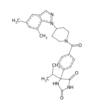 Cc1cc(C)c2c(cnn2C2CCN(C(=O)c3ccc(C4(C(C)C)NC(=O)NC4=O)cc3)CC2)c1